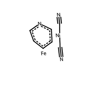 N#[C][Ni][C]#N.[Fe].c1ccncc1